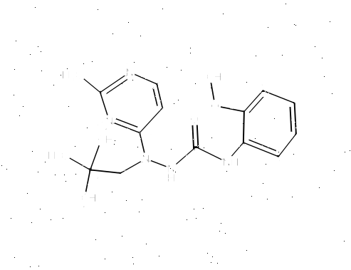 COc1ccccc1NC(=O)NN(CC(C)(C)C)c1ccnc(C)n1